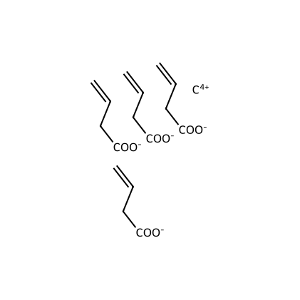 C=CCC(=O)[O-].C=CCC(=O)[O-].C=CCC(=O)[O-].C=CCC(=O)[O-].[C+4]